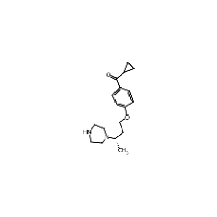 C[C@@H](CCOc1ccc(C(=O)C2CC2)cc1)N1CCNCC1